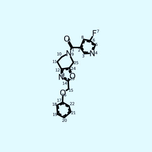 O=C(c1cncc(F)c1)N1CCc2nc(COc3ccccc3)oc2C1